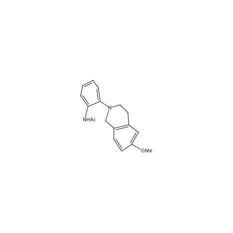 COc1ccc2c(c1)CCN(c1ccccc1NC(C)=O)C2